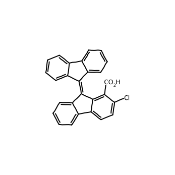 O=C(O)c1c(Cl)ccc2c1C(=C1c3ccccc3-c3ccccc31)c1ccccc1-2